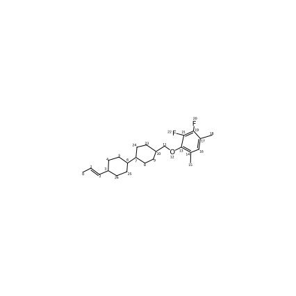 C/C=C/C1CCC(C2CCC(COc3c(C)cc(C)c(F)c3F)CC2)CC1